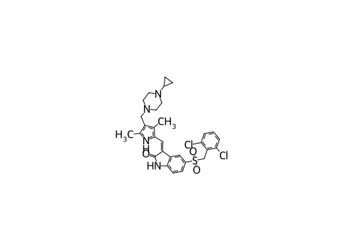 Cc1[nH]c(/C=C2\C(=O)Nc3ccc(S(=O)(=O)Cc4c(Cl)cccc4Cl)cc32)c(C)c1CN1CCN(C2CC2)CC1